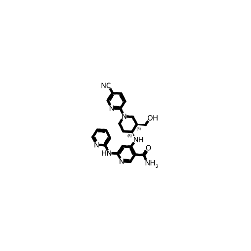 N#Cc1ccc(N2CC[C@@H](Nc3cc(Nc4ccccn4)ncc3C(N)=O)[C@H](CO)C2)nc1